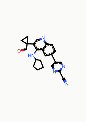 N#Cc1ncc(-c2ccc3ncc(C4(C=O)CC4)c(NC4CCCC4)c3c2)cn1